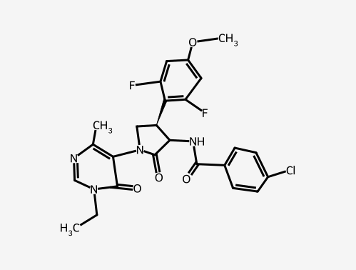 CCn1cnc(C)c(N2C[C@@H](c3c(F)cc(OC)cc3F)C(NC(=O)c3ccc(Cl)cc3)C2=O)c1=O